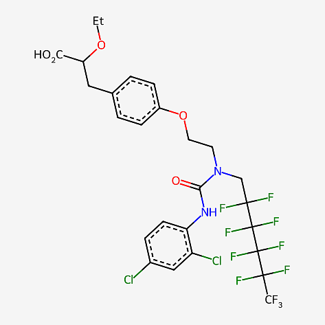 CCOC(Cc1ccc(OCCN(CC(F)(F)C(F)(F)C(F)(F)C(F)(F)C(F)(F)F)C(=O)Nc2ccc(Cl)cc2Cl)cc1)C(=O)O